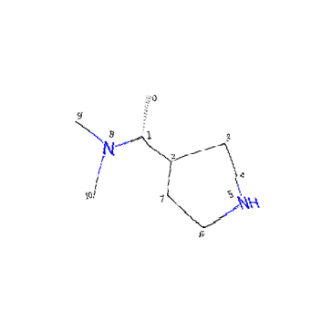 C[C@H](C1CCNCC1)N(C)C